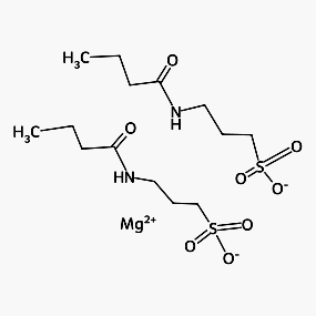 CCCC(=O)NCCCS(=O)(=O)[O-].CCCC(=O)NCCCS(=O)(=O)[O-].[Mg+2]